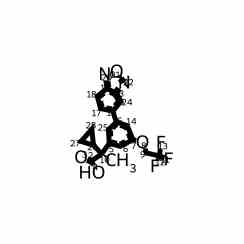 C[C@@](C(=O)O)(c1cc(OCC(F)(F)F)cc(-c2ccc3nonc3c2)c1)C1CC1